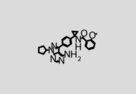 COc1ccccc1C(=O)NC1(c2ccc(-c3nn(C4CCCC4)c4ncnc(N)c34)cc2)CC1